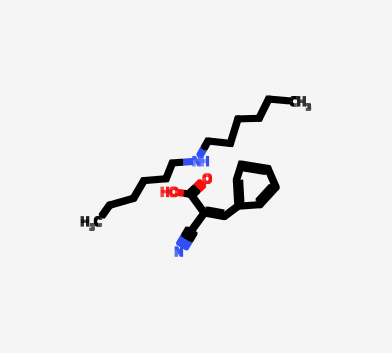 CCCCCCNCCCCCC.N#CC(=Cc1ccccc1)C(=O)O